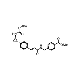 COC(=O)c1ccc(CNC(=O)/C=C/c2ccc([C@@H]3C[C@H]3NC(=O)OC(C)(C)C)cc2)cc1